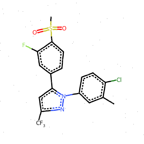 Cc1cc(-n2nc(C(F)(F)F)cc2-c2ccc(S(C)(=O)=O)c(F)c2)ccc1Cl